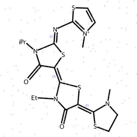 CCn1c(=O)/c(=C2\SCCN2C)s/c1=C1\S/C(=N\c2scc[n+]2C)N(C(C)C)C1=O